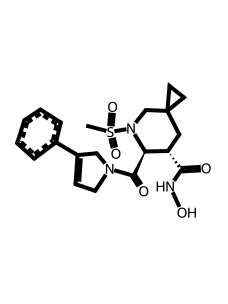 CS(=O)(=O)N1CC2(CC2)C[C@H](C(=O)NO)[C@H]1C(=O)N1CC=C(c2ccccc2)C1